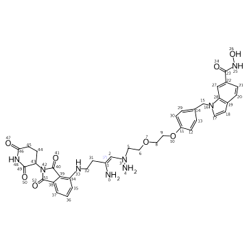 N/C(=C\N(N)CCOCCOc1ccc(Cn2ccc3ccc(C(=O)NO)cc32)cc1)CCNc1cccc2c1C(=O)N(C1CCC(=O)NC1=O)C2=O